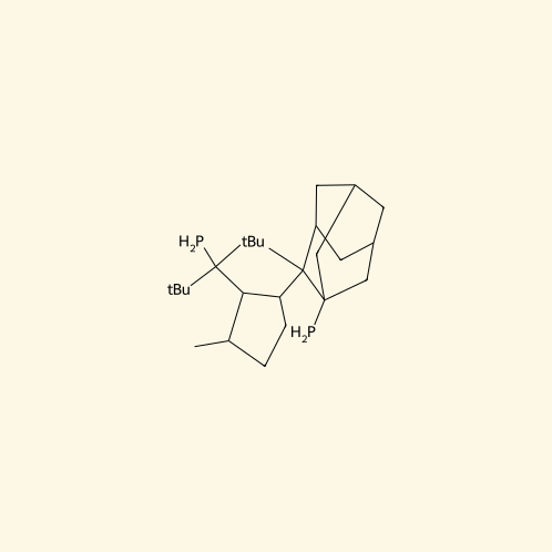 CC1CCC(C2(C)C3CC4CC(C3)CC2(P)C4)C1C(P)(C(C)(C)C)C(C)(C)C